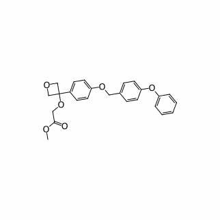 COC(=O)COC1(c2ccc(OCc3ccc(Oc4ccccc4)cc3)cc2)COC1